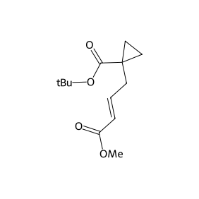 COC(=O)C=CCC1(C(=O)OC(C)(C)C)CC1